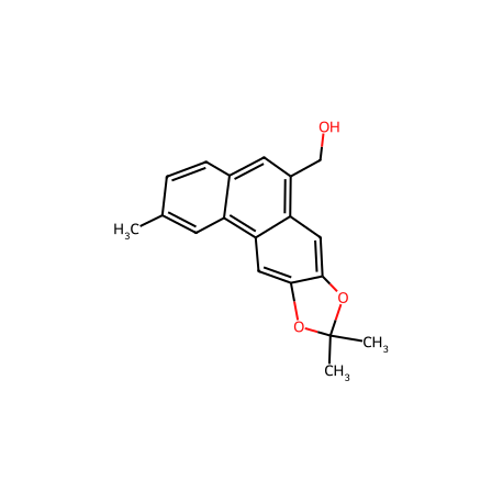 Cc1ccc2cc(CO)c3cc4c(cc3c2c1)OC(C)(C)O4